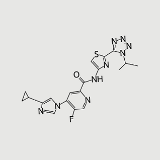 CC(C)n1nnnc1-c1nc(NC(=O)c2cc(-n3cnc(C4CC4)c3)c(F)cn2)cs1